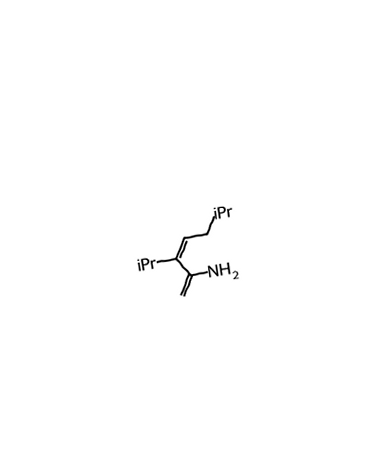 C=C(N)/C(=C\CC(C)C)C(C)C